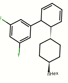 CCCCCC[C@H]1CC[C@H](C2C=CC=CC2c2cc(F)cc(F)c2)CC1